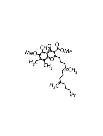 COC(=O)c1c(CCC[C@@H](C)CCC[C@H](C)CCCC(C)C)oc2c(C)c(C)c(OC)c(C)c2c1=O